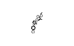 CCOC(=O)/C(C)=C\Oc1ccn(-c2ccc(Cl)cc2)n1